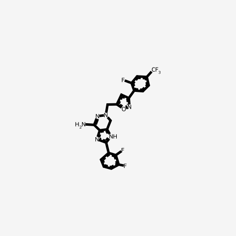 NC1=NN(Cc2cc(-c3ccc(C(F)(F)F)cc3F)no2)Cc2[nH]c(-c3cccc(F)c3F)nc21